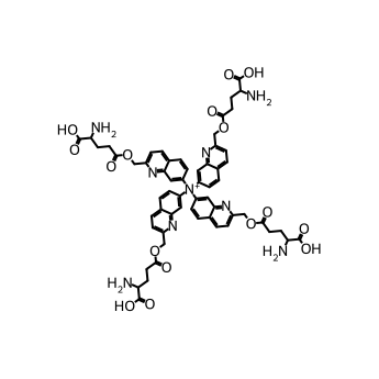 NC(CCC(=O)OCc1ccc2ccc([N+](c3ccc4ccc(COC(=O)CCC(N)C(=O)O)nc4c3)(c3ccc4ccc(COC(=O)CCC(N)C(=O)O)nc4c3)c3ccc4ccc(COC(=O)CCC(N)C(=O)O)nc4c3)cc2n1)C(=O)O